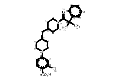 O=C(O)c1ccc(N2CCC(CC3CCN(C(=O)C(O)(c4ccccc4)C(F)(F)F)CC3)CC2)cc1Cl